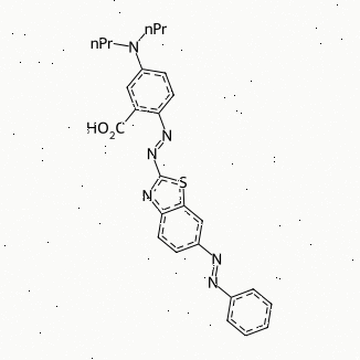 CCCN(CCC)c1ccc(/N=N/c2nc3ccc(/N=N/c4ccccc4)cc3s2)c(C(=O)O)c1